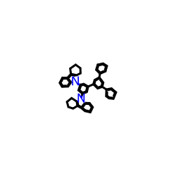 c1ccc(-c2cc(-c3ccccc3)cc(-c3cc(-n4c5c(c6ccccc64)CCCC5)cc(-n4c5c(c6ccccc64)CCCC5)c3)c2)cc1